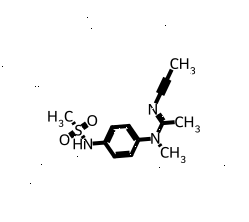 CC#CN=C(C)N(C)c1ccc(NS(C)(=O)=O)cc1